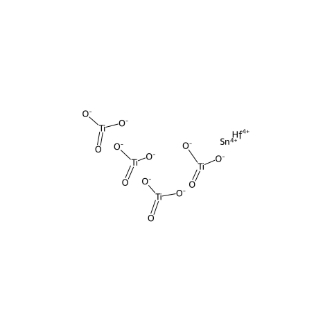 [Hf+4].[O]=[Ti]([O-])[O-].[O]=[Ti]([O-])[O-].[O]=[Ti]([O-])[O-].[O]=[Ti]([O-])[O-].[Sn+4]